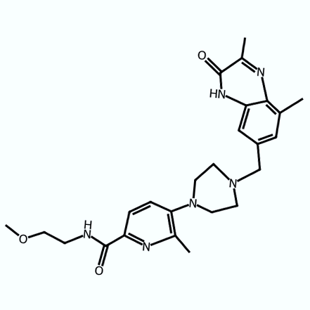 COCCNC(=O)c1ccc(N2CCN(Cc3cc(C)c4nc(C)c(=O)[nH]c4c3)CC2)c(C)n1